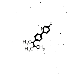 CC(C)C(C)c1ccc(-c2ccc(F)cn2)cc1